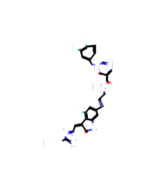 Cc1c[nH]c(C=C2C(=O)Nc3cc(/C=C/CNC(=O)c4cncn(Cc5ccc(F)c(F)c5)c4=O)cc(F)c32)n1